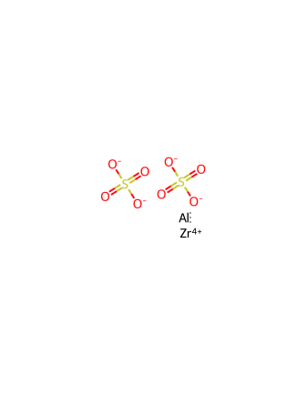 O=S(=O)([O-])[O-].O=S(=O)([O-])[O-].[Al].[Zr+4]